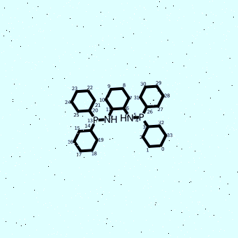 C1CCC(P(NC2CCCCC2NP(C2CCCCC2)C2CCCCC2)C2CCCCC2)CC1